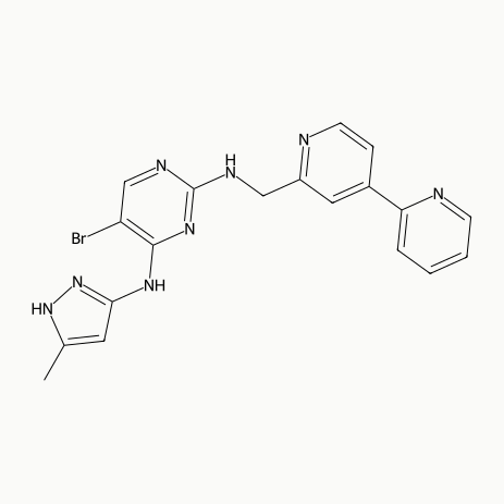 Cc1cc(Nc2nc(NCc3cc(-c4ccccn4)ccn3)ncc2Br)n[nH]1